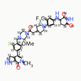 COc1cc(-c2cn(C)c(=O)c3[nH]ncc23)cc(F)c1CN1CCN(C(=O)CC2CCN(c3ccc(NC4CCC(=O)NC4=O)cc3C(F)(F)F)CC2)CC1